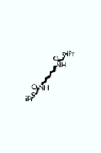 CC(C)SCC(=O)NCCCCCCCNC(=O)CSC(C)C